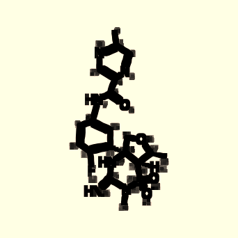 Cc1cnc(C(=O)Nc2ccc(F)c([C@]34CO[C@@H](C)[C@H]3S(=O)(=O)N(C)C(=N)N4)c2)cn1